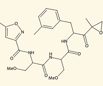 COCC(NC(=O)c1cc(C)on1)C(=O)NC(COC)C(=O)NC(Cc1cccc(C)c1)C(=O)C1(C)CO1